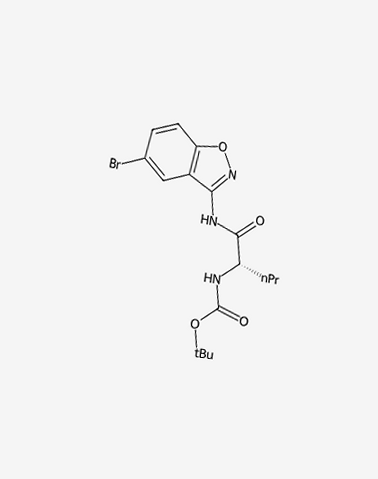 CCC[C@H](NC(=O)OC(C)(C)C)C(=O)Nc1noc2ccc(Br)cc12